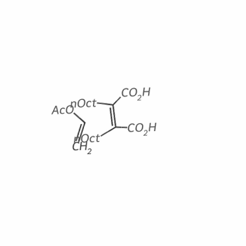 C=COC(C)=O.CCCCCCCC/C(C(=O)O)=C(\CCCCCCCC)C(=O)O